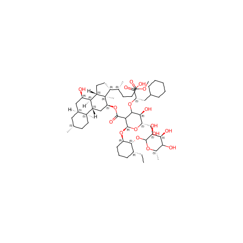 CC[C@@H]1CCC[C@@H](O[C@@H]2O[C@@H](CO)[C@H](O)C(O[C@@H](CC3CCCCC3)C(=O)O)C2C(=O)O[C@H]2C[C@H]3[C@@H]([C@H](O)C[C@@H]4C[C@@H](C)CC[C@@]43C)[C@@H]3CC[C@H]([C@H](C)CCC(=O)OC)[C@@]23C)[C@@H]1OC1O[C@@H](C)C(O)[C@H](O)[C@@H]1O